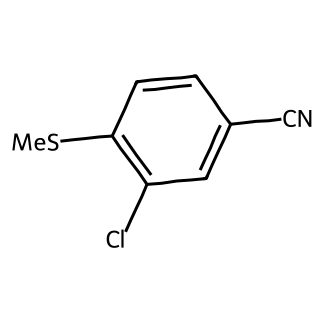 CSc1ccc(C#N)cc1Cl